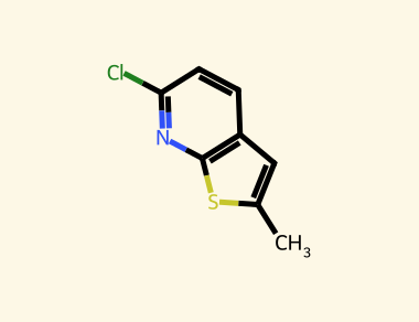 Cc1cc2ccc(Cl)nc2s1